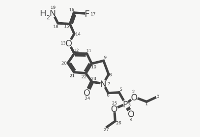 CCOP(=O)(CCN1CCc2cc(OC/C(=C\F)CN)ccc2C1=O)OCC